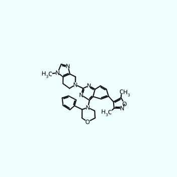 Cc1noc(C)c1-c1ccc2nc(N3CCc4c(ncn4C)C3)nc(N3CCOCC3c3ccccc3)c2c1